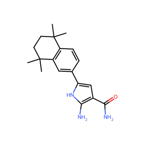 CC1(C)CCC(C)(C)c2cc(-c3cc(C(N)=O)c(N)[nH]3)ccc21